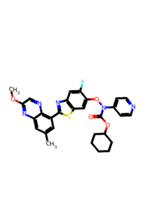 COc1cnc2c(-c3nc4cc(F)c(ON(C(=O)OC5CCCCC5)c5ccncc5)cc4s3)cc(C)cc2n1